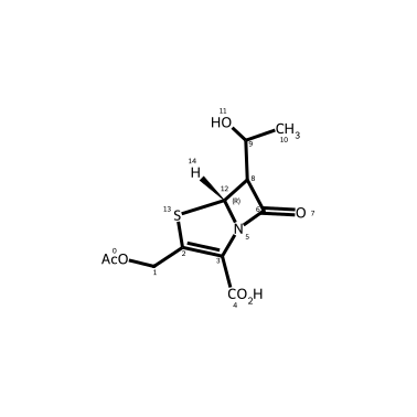 CC(=O)OCC1=C(C(=O)O)N2C(=O)C(C(C)O)[C@H]2S1